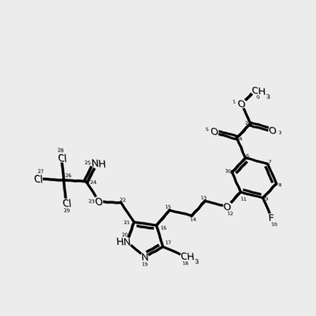 COC(=O)C(=O)c1ccc(F)c(OCCCc2c(C)n[nH]c2COC(=N)C(Cl)(Cl)Cl)c1